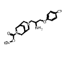 CC(C)(C)OC(=O)N1CC2CC(CN(CC(N)COc3ccc(C#N)cc3)C2)C1